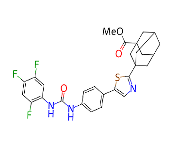 COC(=O)C12CC3CC(C1)CC(c1ncc(-c4ccc(NC(=O)Nc5cc(F)c(F)cc5F)cc4)s1)(C3)C2